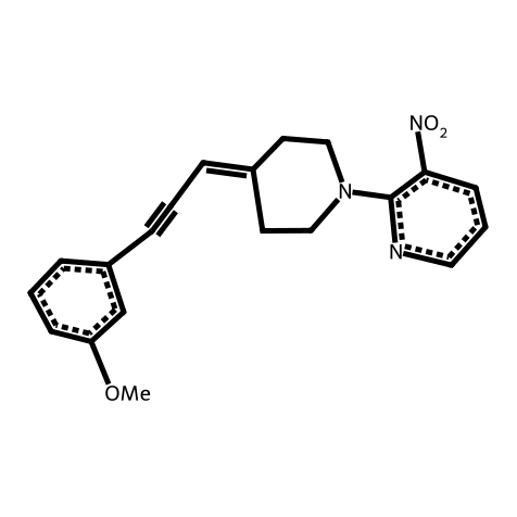 COc1cccc(C#CC=C2CCN(c3ncccc3[N+](=O)[O-])CC2)c1